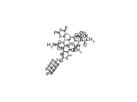 CC(=O)N(c1nn(C)c2c(-n3c(C(Cc4cc(F)cc(F)c4)OC(N)=O)nc4nc(OCC(F)(F)C(F)(F)C(F)(F)C(F)(F)F)ccc4c3=O)ccc(Cl)c12)S(C)(=O)=O